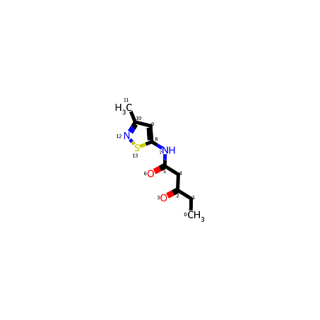 CCC(=O)CC(=O)Nc1cc(C)ns1